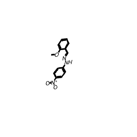 COc1ccccc1C=NNc1ccc([N+](=O)[O-])cc1